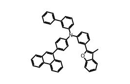 Cc1c(-c2cccc(N(c3ccc(-c4cc5ccccc5c5ccccc45)cc3)c3cccc(-c4ccccc4)c3)c2)oc2ccccc12